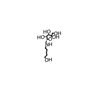 OCCCCCNC[C@@H]1O[C@](O)(CO)[C@@H](O)[C@@H]1O